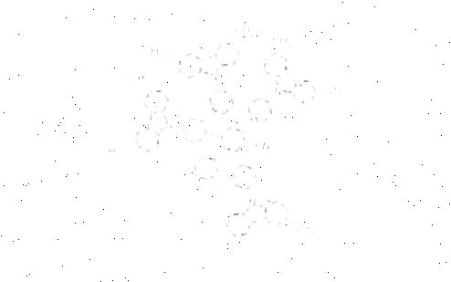 Cc1ccc2c(c1)c1cc(C)ccc1n2-c1ccc(-c2c(C#N)c(-c3ccc(-n4c5ccc(C)cc5c5cc(C)ccc54)cc3)c(-c3ccc(-n4c5ccc(C)cc5c5cc(C)ccc54)cc3)c(-c3ccc(-n4c5ccc(C)cc5c5cc(C)ccc54)cc3)c2-c2ccncc2)cc1